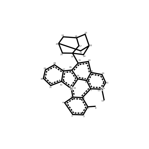 Cc1cccc2c1c1c3c(cc[n+]1C)cc(C14CC5CC(CC(C5)C1)C4)c1c4ccccc4n2c13